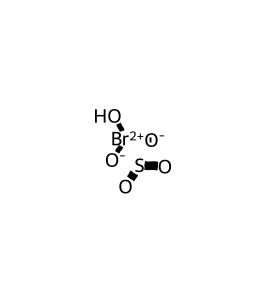 O=S=O.[O-][Br+2]([O-])O